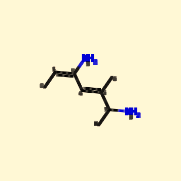 C/C=C(N)\C=C(/C)C(C)N